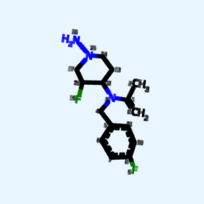 C=C(C)N(Cc1ccc(F)cc1)C1CCN(N)CC1F